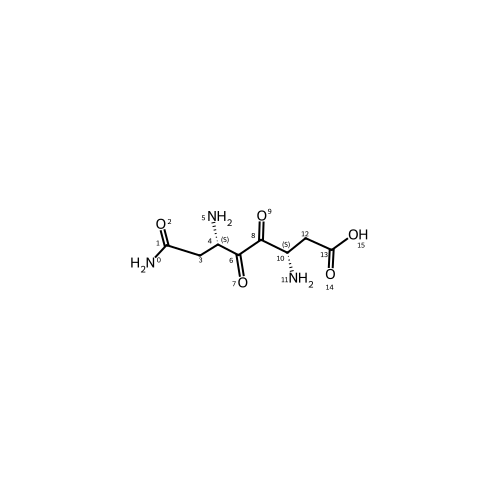 NC(=O)C[C@H](N)C(=O)C(=O)[C@@H](N)CC(=O)O